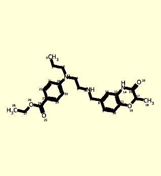 CCCN(CCNCc1ccc2c(c1)NC(=O)C(C)O2)c1ccc(C(=O)OCC)cc1